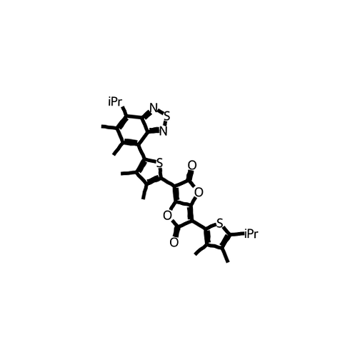 Cc1c(C2=C3OC(=O)C(c4sc(C(C)C)c(C)c4C)=C3OC2=O)sc(-c2c(C)c(C)c(C(C)C)c3nsnc23)c1C